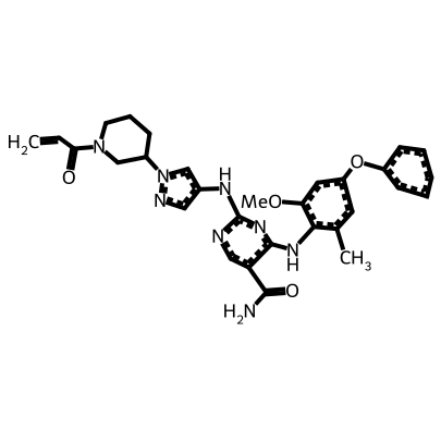 C=CC(=O)N1CCCC(n2cc(Nc3ncc(C(N)=O)c(Nc4c(C)cc(Oc5ccccc5)cc4OC)n3)cn2)C1